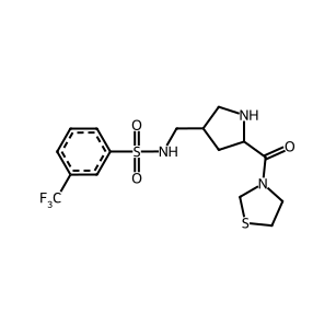 O=C(C1CC(CNS(=O)(=O)c2cccc(C(F)(F)F)c2)CN1)N1CCSC1